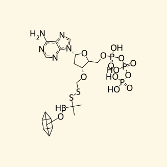 CC(C)(BOC1C2C3C2C2C1C32)SSCO[C@@H]1C[C@H](n2cnc3c(N)ncnc32)OC1COP(=O)(O)OP(=O)(O)OP(=O)(O)O